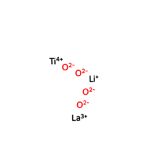 [La+3].[Li+].[O-2].[O-2].[O-2].[O-2].[Ti+4]